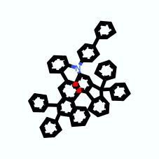 c1ccc(-c2ccc(N(c3ccc4c(c3)C(c3ccccc3)(c3ccccc3)c3ccccc3-4)c3ccccc3-c3ccc4c(c3)c(-c3ccccc3)c(-c3ccccc3)c3ccccc34)cc2)cc1